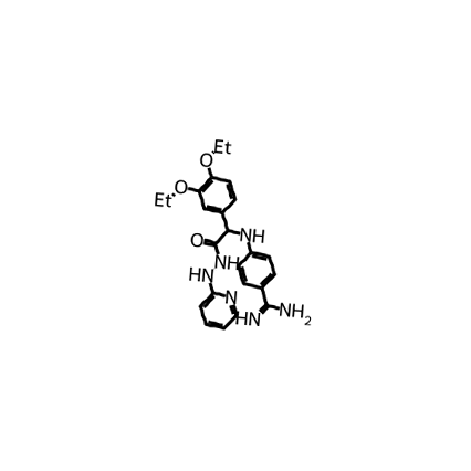 CCOc1ccc(C(Nc2ccc(C(=N)N)cc2)C(=O)NNc2ccccn2)cc1OCC